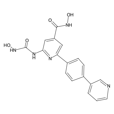 O=C(NO)Nc1cc(C(=O)NO)cc(-c2ccc(-c3cccnc3)cc2)n1